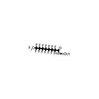 CCCCCCCCNC(=O)C(F)(F)C(F)(F)C(F)(F)C(F)(F)C(F)(F)C(F)(F)C(F)(F)C(F)(F)F